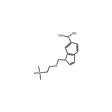 C[Si](C)(C)CCOCn1ccc2ccc(B(O)O)cc21